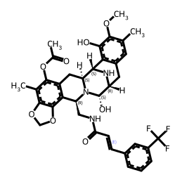 COc1c(C)cc2c(c1O)[C@@H]1N[C@H](C2)[C@H](O)N2[C@@H](CNC(=O)/C=C/c3cccc(C(F)(F)F)c3)c3c(c(OC(C)=O)c(C)c4c3OCO4)C[C@@H]12